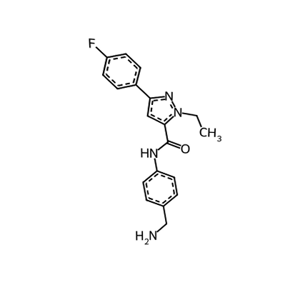 CCn1nc(-c2ccc(F)cc2)cc1C(=O)Nc1ccc(CN)cc1